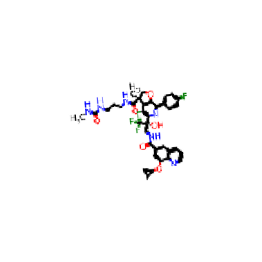 CNC(=O)NCCCNC(=O)[C@@]1(C)COc2c1cc([C@@](O)(CNC(=O)c1cc(OC3CC3)c3ncccc3c1)C(F)(F)F)nc2-c1ccc(F)cc1